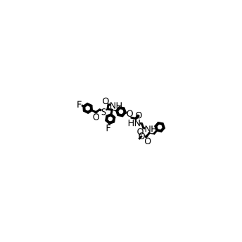 COC(=O)[C@H](Cc1ccccc1)NC(=O)CNC(=O)COc1ccc([C@]2(c3ccc(F)cc3)NC(=O)[C@@H]2SCC(=O)c2ccc(F)cc2)cc1